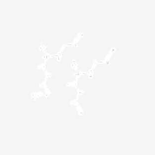 C=CCOP([O-])OCC=C.C=CCOP([O-])OCC=C.[Co+2]